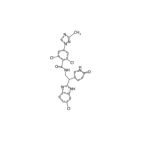 Cc1ncn(-c2cc(Cl)c(C(=O)NCC(c3ccc(=O)[nH]c3)c3nc4ccc(Cl)cc4[nH]3)c(Cl)c2)n1